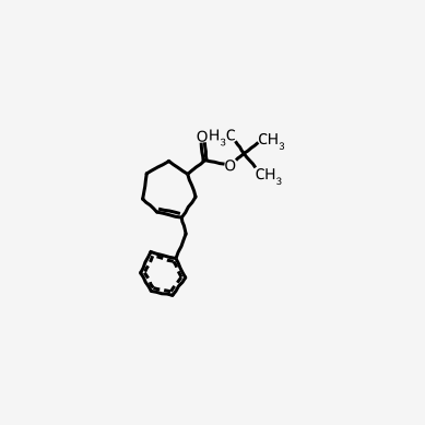 CC(C)(C)OC(=O)C1CCCC=C(Cc2ccccc2)C1